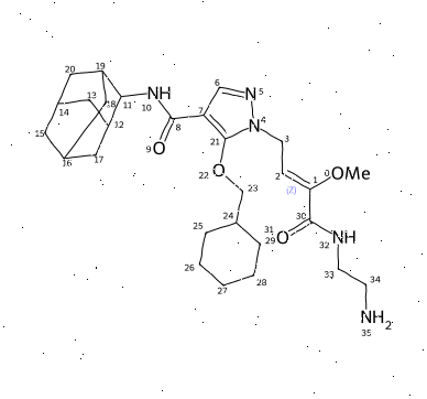 CO/C(=C\Cn1ncc(C(=O)NC2C3CC4CC(C3)CC2C4)c1OCC1CCCCC1)C(=O)NCCN